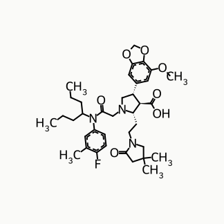 CCCC(CCC)N(C(=O)CN1C[C@H](c2cc(OC)c3c(c2)OCO3)[C@@H](C(=O)O)[C@@H]1CCN1CC(C)(C)CC1=O)c1ccc(F)c(C)c1